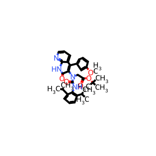 COc1cccc(-c2c(N(CC(=O)OC(C)(C)C)C(=O)Nc3c(C(C)C)cccc3C(C)C)c(=O)[nH]c3ncccc23)c1